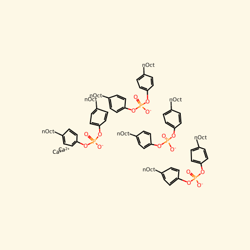 CCCCCCCCc1ccc(OP(=O)([O-])Oc2ccc(CCCCCCCC)cc2)cc1.CCCCCCCCc1ccc(OP(=O)([O-])Oc2ccc(CCCCCCCC)cc2)cc1.CCCCCCCCc1ccc(OP(=O)([O-])Oc2ccc(CCCCCCCC)cc2)cc1.CCCCCCCCc1ccc(OP(=O)([O-])Oc2ccc(CCCCCCCC)cc2)cc1.[Ca+2].[Ca+2]